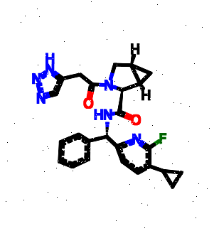 O=C(N[C@@H](c1ccccc1)c1ccc(C2CC2)c(F)n1)[C@@H]1[C@H]2C[C@H]2CN1C(=O)Cc1cnn[nH]1